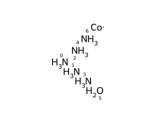 N.N.N.N.N.O.[Co]